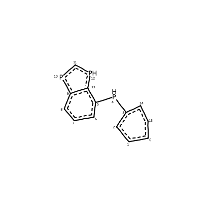 c1ccc(Pc2cccc3pc[pH]c23)cc1